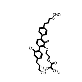 C=C(C)C(=O)OCCOc1c(-c2ccc(CCCO)cc2CC)ccc(-c2ccc(CCCOC=O)cc2)c1F